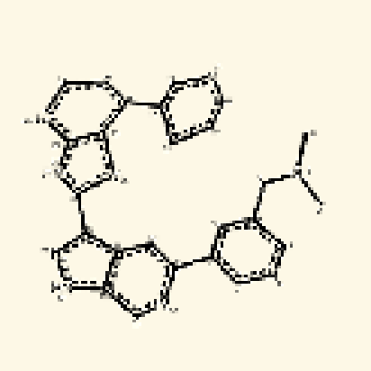 CN(C)Cc1cncc(-c2cc3c(-c4nc5c(-c6cccnc6)ccnc5[nH]4)n[nH]c3cn2)c1